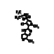 Cc1nccc(NC(=O)c2c(Cl)c(S(=O)(=O)N[C@H](C)C(F)(F)F)cn2C)c1F